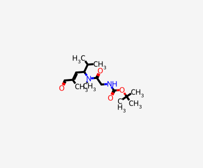 C/C(C=O)=C\C(C(C)C)N(C)C(=O)CNC(=O)OC(C)(C)C